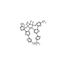 Cc1csc(-c2cc(C3=C(c4cc(-c5cc(C(F)(F)F)cs5)sc4-c4ccc(C)s4)C(F)(F)C(F)(F)C3(F)F)c(-c3ccc(C(F)(F)F)s3)s2)c1